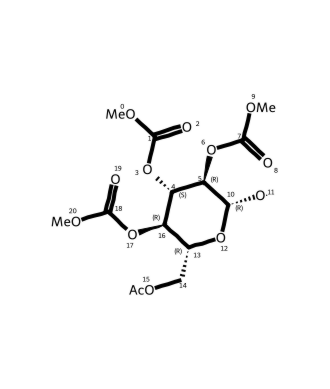 COC(=O)O[C@@H]1[C@@H](OC(=O)OC)[C@H]([O])O[C@H](COC(C)=O)[C@H]1OC(=O)OC